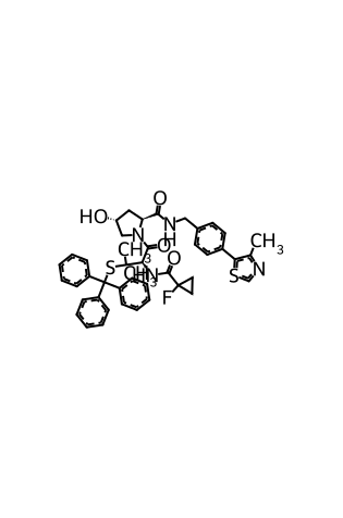 Cc1ncsc1-c1ccc(CNC(=O)[C@@H]2C[C@@H](O)CN2C(=O)[C@@H](NC(=O)C2(F)CC2)C(C)(C)SC(c2ccccc2)(c2ccccc2)c2ccccc2)cc1